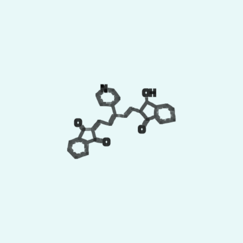 O=C1C(=C/C=C(/C=C/C2C(=O)c3ccccc3C2O)c2ccncc2)C(=O)c2ccccc21